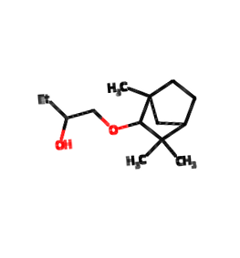 CCC(O)COC1C2(C)CCC(C2)C1(C)C